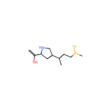 C=C(O)C1CC(C(C)CCP(C)S)CN1